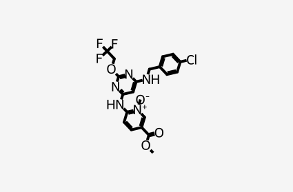 COC(=O)c1ccc(Nc2cc(NCc3ccc(Cl)cc3)nc(OCC(F)(F)F)n2)[n+]([O-])c1